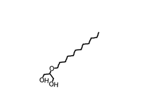 CCCCCCCCCCCCOC(CO)CO